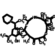 CC[C@H]1OC(=O)C(C)C(=O)[C@H](C)[C@@H](O[C@@H]2O[C@H]([C@H](C)N3CCCCC3)C[C@H](N(C)C)[C@H]2O)[C@](C)(OC)C[C@@H](C)CN[C@H](C)[C@H]2NC(=O)O[C@@]21C